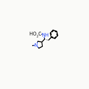 CN1CCC([C@@H](Cc2ccccc2)NC(=O)O)C1